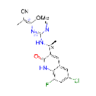 C=N/C(=N\C(OC)=C(/C)C#N)N[C@@H](C)c1cc2cc(Cl)cc(F)c2[nH]c1=O